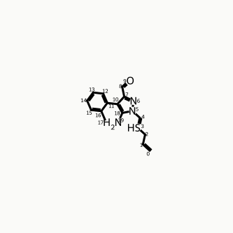 C=CC[SH]=Cn1nc(C=O)c(-c2ccccc2C)c1N